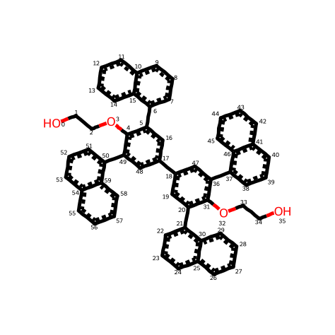 OCCOc1c(-c2cccc3ccccc23)cc(-c2cc(-c3cccc4ccccc34)c(OCCO)c(-c3cccc4ccccc34)c2)cc1-c1cccc2ccccc12